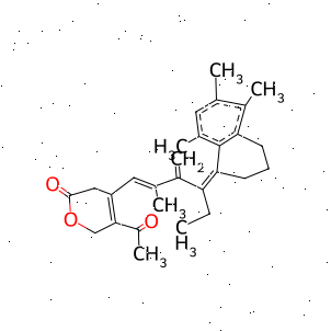 C=C(/C(CC)=C1/CCCc2c(C)c(C)cc(C)c21)/C(C)=C/C1=C(C(C)=O)COC(=O)C1